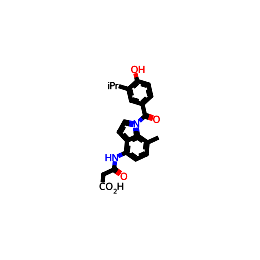 Cc1ccc(NC(=O)CC(=O)O)c2ccn(C(=O)c3ccc(O)c(C(C)C)c3)c12